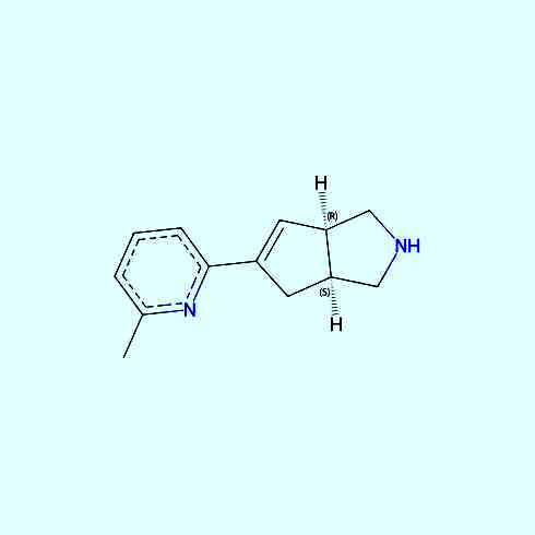 Cc1cccc(C2=C[C@H]3CNC[C@H]3C2)n1